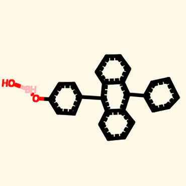 OBOc1ccc(-c2c3ccccc3c(-c3ccccc3)c3ccccc23)cc1